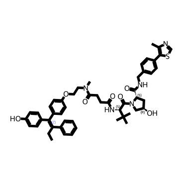 CC/C(=C(\c1ccc(O)cc1)c1ccc(OCCN(C)C(=O)CCC(=O)N[C@H](C(=O)N2C[C@H](O)C[C@H]2C(=O)NCc2ccc(-c3scnc3C)cc2)C(C)(C)C)cc1)c1ccccc1